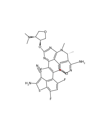 C[C@H](c1cncnc1N)N(C)c1nc(O[C@@H]2COC[C@@H]2N(C)C)nc2c(F)c(-c3c(F)cc(F)c4sc(N)c(C#N)c34)c(Cl)cc12